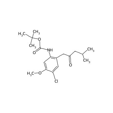 COc1cc(NC(=O)OC(C)(C)C)c(CC(=O)CC(C)C)cc1Cl